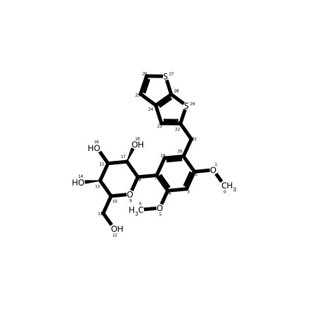 COc1cc(OC)c(C2OC(CO)[C@@H](O)C(O)[C@H]2O)cc1Cc1cc2ccsc2s1